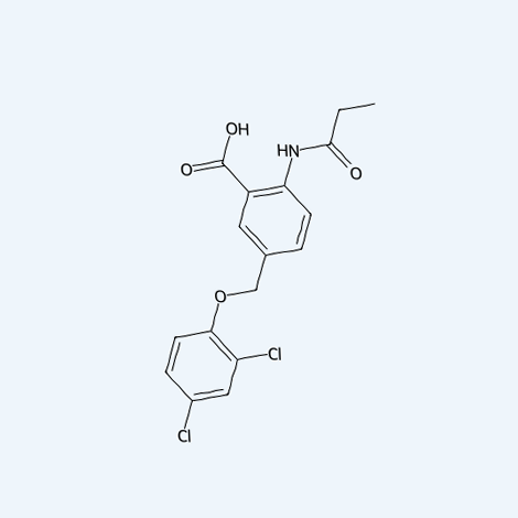 CCC(=O)Nc1ccc(COc2ccc(Cl)cc2Cl)cc1C(=O)O